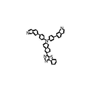 c1ccc2c(c1)sc1c(-c3ccc4cc(N(c5ccc(-c6ccc7ccncc7c6)cc5)c5ccc(-c6ccc7ccncc7c6)cc5)ccc4c3)ncnc12